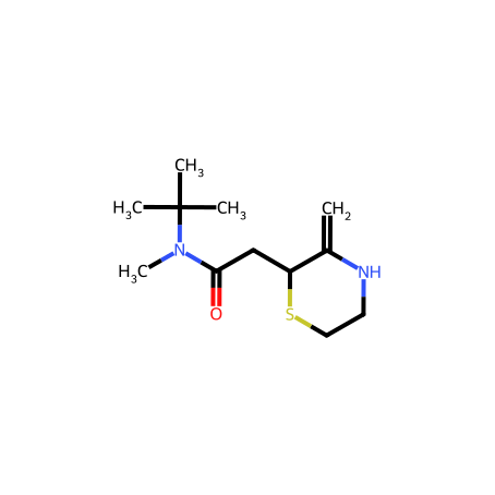 C=C1NCCSC1CC(=O)N(C)C(C)(C)C